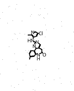 Cc1ccc2c(c1)NC(=O)Cc1cnc(Nc3cc(Cl)cnc3C)nc1-2